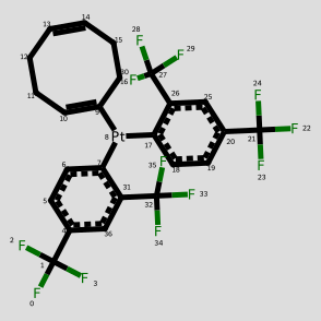 FC(F)(F)c1cc[c]([Pt]([C]2=CCCC=CCC2)[c]2ccc(C(F)(F)F)cc2C(F)(F)F)c(C(F)(F)F)c1